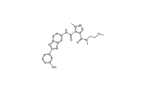 COCCN(C)C(=O)c1cnn(C)c1C(=O)Nc1ccn2nc(-c3cccc(O)c3)nc2c1